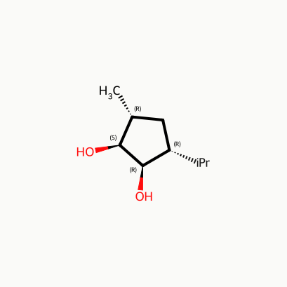 CC(C)[C@H]1C[C@@H](C)[C@H](O)[C@@H]1O